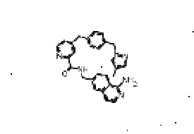 Cc1cnn(Cc2ccc(Cc3ccnc(C(=O)NCc4ccc5c(N)nccc5c4)c3)cc2)c1